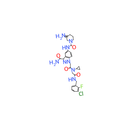 NC(=O)c1nn(CC(=O)N(CC(=O)NCc2cccc(Cl)c2F)C2CC2)c2ccc(NC(=O)N3CCC[C@@H](N)C3)cc12